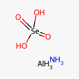 N.O=[Se](=O)(O)O.[AlH3]